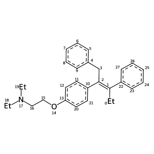 CCC(=C(Cc1ccccc1)c1ccc(OCCN(CC)CC)cc1)c1ccccc1